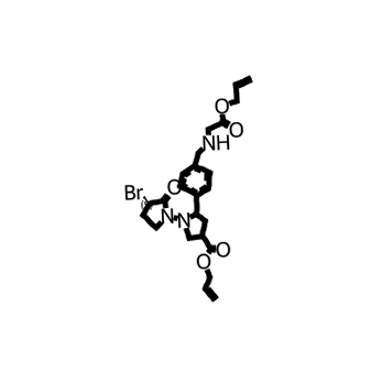 C=CCOC(=O)CNCc1ccc(C2CC(C(=O)OCC=C)CN2N2CC[C@H](Br)C2=O)cc1